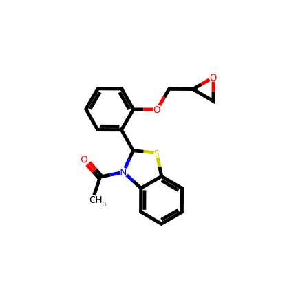 CC(=O)N1c2ccccc2SC1c1ccccc1OCC1CO1